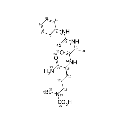 C[C@@H](NC(=S)Nc1ccccc1)C(=O)N[C@@H](CCCN(C(=O)O)C(C)(C)C)C(N)=O